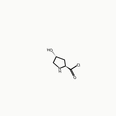 O=C(Cl)[C@@H]1C[C@@H](O)CN1